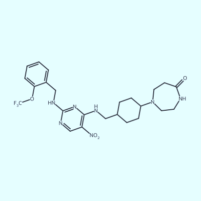 O=C1CCN(C2CCC(CNc3nc(NCc4ccccc4OC(F)(F)F)ncc3[N+](=O)[O-])CC2)CCN1